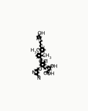 Cc1c(CCCCN2CC[C@@H](O)C2)cccc1-c1cccc(COc2cc(OCc3cncc(C#N)c3)c(CN3C[C@@H](O)C[C@H]3C(=O)O)cc2Cl)c1C